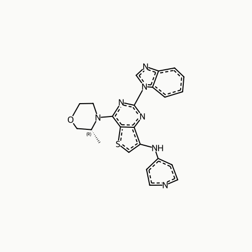 C[C@@H]1COCCN1c1nc(-n2cnc3ccccc32)nc2c(Nc3ccncc3)csc12